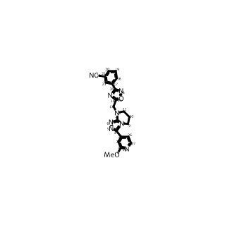 COc1cc(-c2nnc3n2CCCN3Cc2nc(-c3cccc(C#N)c3)no2)ccn1